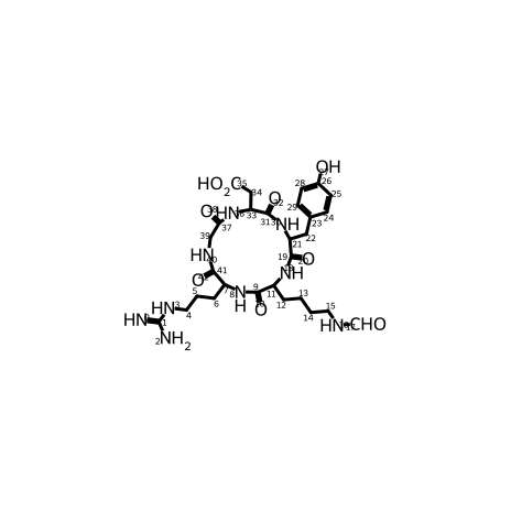 N=C(N)NCCCC1NC(=O)C(CCCCNC=O)NC(=O)C(Cc2ccc(O)cc2)NC(=O)C(CC(=O)O)NC(=O)CNC1=O